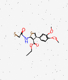 CCOC(=O)c1c(-c2ccc(OC)c(OC)c2)csc1NC(=O)C[S]